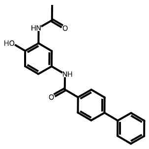 CC(=O)Nc1cc(NC(=O)c2ccc(-c3ccccc3)cc2)ccc1O